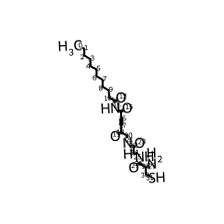 CCCCCCCCCCCC(=O)NC(=O)C#CC(=O)CNC(=O)CNC(=O)[C@@H](N)CS